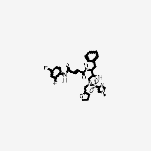 Cn1cnc(S(=O)(=O)N(CC2CCCO2)CC(O)C(Cc2ccccc2)NC(=O)/C=C/C(=O)Nc2ccc(F)cc2F)c1